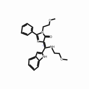 COCCN/C(=C1/N=C(c2ccccc2)N(CCOC)C1=O)c1cc2ccccc2[nH]1